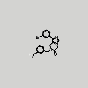 Cc1cccc(CN2Cc3c(-c4cccc(Br)c4)ncn3CC2=O)c1